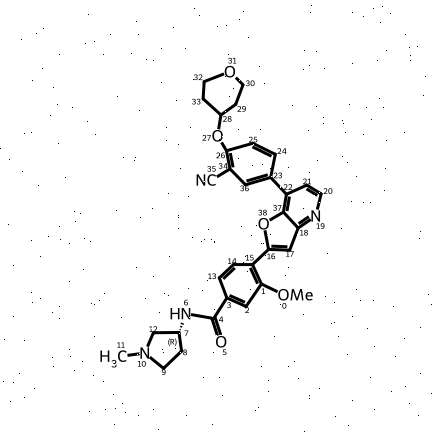 COc1cc(C(=O)N[C@@H]2CCN(C)C2)ccc1-c1cc2nccc(-c3ccc(OC4CCOCC4)c(C#N)c3)c2o1